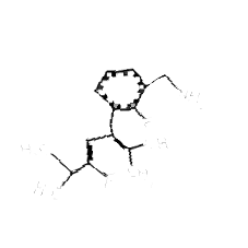 C/C(O)=C(\C=C(/F)C(C)C)c1cccc(CN)c1F